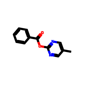 Cc1cnc(OC(=O)c2ccccc2)nc1